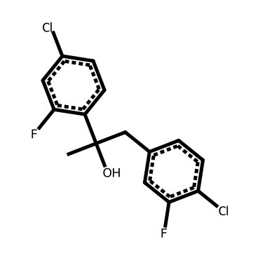 CC(O)(Cc1ccc(Cl)c(F)c1)c1ccc(Cl)cc1F